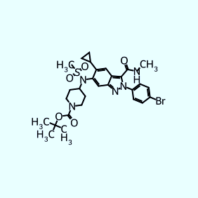 CNC(=O)c1c2cc(C3CC3)c(N(C3CCN(C(=O)OC(C)(C)C)CC3)S(C)(=O)=O)cc2nn1-c1ccc(Br)cc1